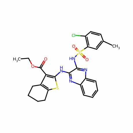 CCOC(=O)c1c(Nc2nc3ccccc3nc2NS(=O)(=O)c2cc(C)ccc2Cl)sc2c1CCCC2